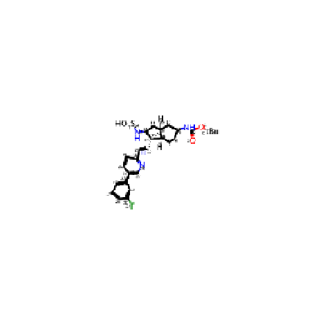 CC(C)(C)OC(=O)NC1CC[C@@H]2[C@@H](C1)C[C@H](NS(=O)(=O)O)[C@H]2/C=C/c1ccc(-c2cccc(F)c2)cn1